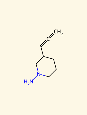 C=C=CC1CCCN(N)C1